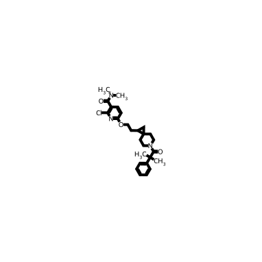 CN(C)C(=O)c1ccc(OCCC2CC23CCN(C(=O)C(C)(C)c2ccccc2)CC3)nc1Cl